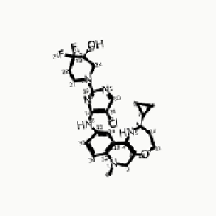 CN1CC2=C(N[C@@H](C3CC3)CCO2)c2cc(Nc3nc(N4CCC(F)(F)[C@@H](O)C4)ncc3Cl)ccc21